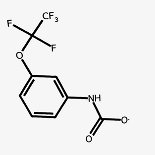 [O]C(=O)Nc1cccc(OC(F)(F)C(F)(F)F)c1